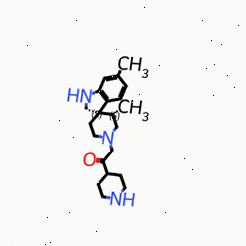 Cc1ccc2c(c1)NC[C@]21CCN(CC(=O)C2CCNCC2)C[C@H]1C